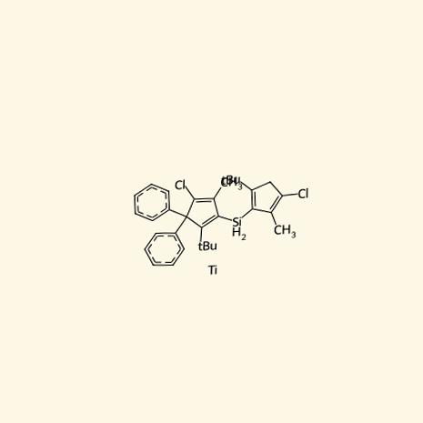 CC1=C(Cl)CC(C(C)(C)C)=C1[SiH2]C1=C(C(C)(C)C)C(c2ccccc2)(c2ccccc2)C(Cl)=C1C.[Ti]